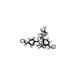 CC(C)(C)[Si](C)(C)C(OC(c1ccc(CCl)cc1)[Si](C)(C)C(C)(C)C)c1ccc(CCl)cc1